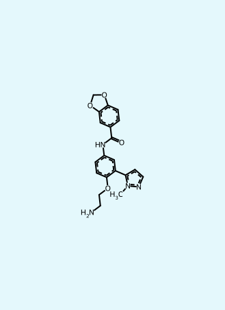 Cn1nccc1-c1cc(NC(=O)c2ccc3c(c2)OCO3)ccc1OCCN